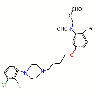 CCCc1ccc(OCCCCN2CCN(c3cccc(Cl)c3Cl)CC2)cc1N(C=O)COC=O